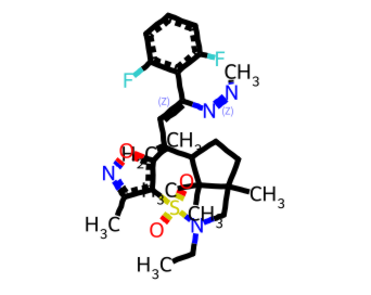 C=C(/C=C(\N=N/C)c1c(F)cccc1F)C1CCC(C)(CN(CC)S(=O)(=O)c2c(C)noc2C)C1(C)C